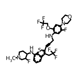 CN1CCC(Nc2cccc3c(CC(F)(F)F)c(C#CCNc4cc(F)c(N5CCOCC5)cc4OCC(F)(F)F)sc23)C(F)C1